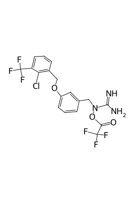 N=C(N)N(Cc1cccc(OCc2cccc(C(F)(F)F)c2Cl)c1)OC(=O)C(F)(F)F